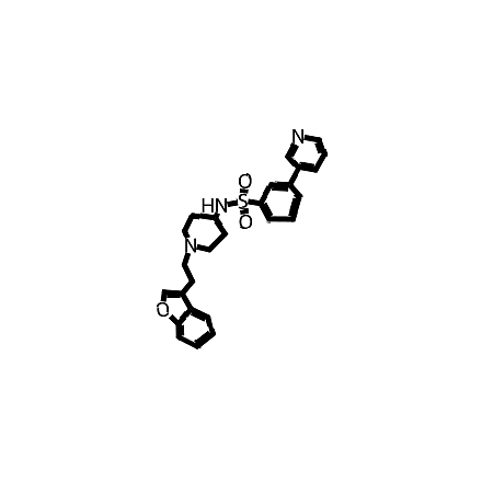 O=S(=O)(NC1CCN(CCc2coc3ccccc23)CC1)c1cccc(-c2cccnc2)c1